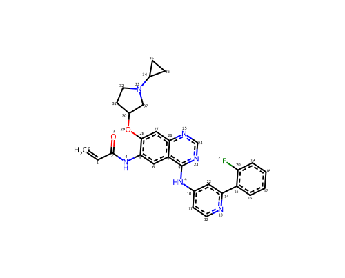 C=CC(=O)Nc1cc2c(Nc3ccnc(-c4ccccc4F)c3)ncnc2cc1OC1CCN(C2CC2)C1